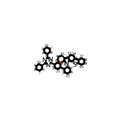 c1c(-c2nc(-c3ccccc3)nc(-c3ccccc3)n2)ccc(-c2ccccc2-n2c3c(c4ccc5c6ccccc6sc5c42)C=CCC3)c#1